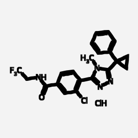 Cl.Cn1c(-c2ccc(C(=O)NCC(F)(F)F)cc2Cl)nnc1C1(c2ccccc2)CC1